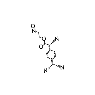 N#CC(C#N)=c1ccc(=C(C#N)C(=O)OCCN=O)cc1